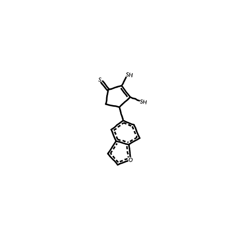 S=C1CC(c2ccc3occc3c2)C(S)=C1S